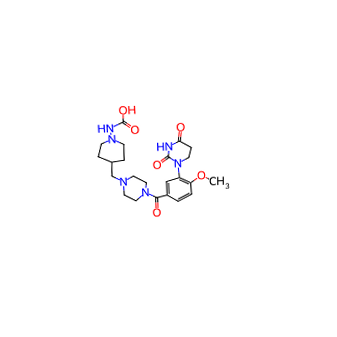 COc1ccc(C(=O)N2CCN(CC3CCN(NC(=O)O)CC3)CC2)cc1N1CCC(=O)NC1=O